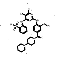 CC(C)Oc1cc(C(=O)N2CCC(N3CCCCC3)CC2)ccc1Nc1nc(N)c(Cl)c(Nc2ccccc2S(=O)(=O)C(C)C)n1